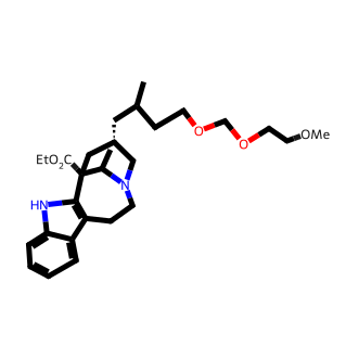 CCOC(=O)C12C[C@H](CC(C)CCOCOCCOC)CN(CCc3c1[nH]c1ccccc31)C2C